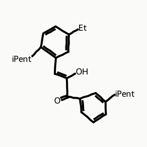 CCCC(C)c1cccc(C(=O)C(O)=Cc2cc(CC)ccc2C(C)CCC)c1